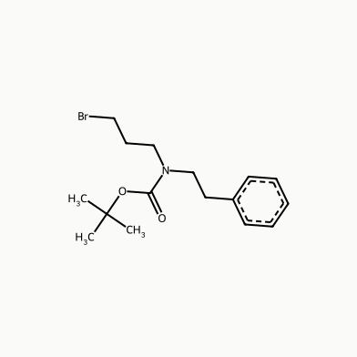 CC(C)(C)OC(=O)N(CCCBr)CCc1ccccc1